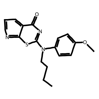 CCCCN(c1ccc(OC)cc1)c1nc(=O)c2cccnc2s1